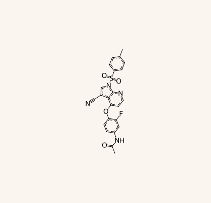 CC(=O)Nc1ccc(Oc2ccnc3c2c(C#N)cn3S(=O)(=O)c2ccc(C)cc2)c(F)c1